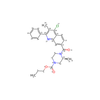 CCCOC(=O)N1CCN(C(=O)c2ccc3c(Cl)c(C)c(-c4ccccc4)nc3c2)[C@@H](C)C1